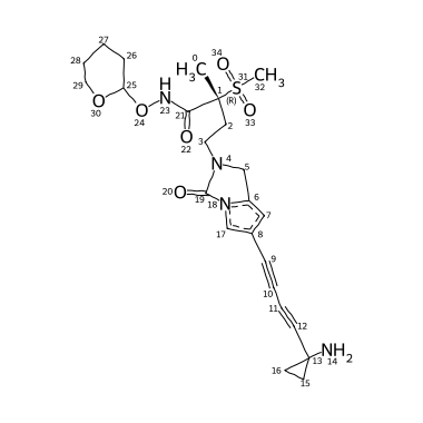 C[C@@](CCN1Cc2cc(C#CC#CC3(N)CC3)cn2C1=O)(C(=O)NOC1CCCCO1)S(C)(=O)=O